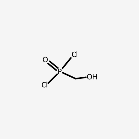 O=P(Cl)(Cl)CO